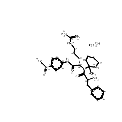 CC1(N(C(=O)[C@@H](N)Cc2ccccc2)[C@@H](CCCNC(=N)N)C(=O)Nc2ccc([N+](=O)[O-])cc2)CCCCN1.Cl.Cl